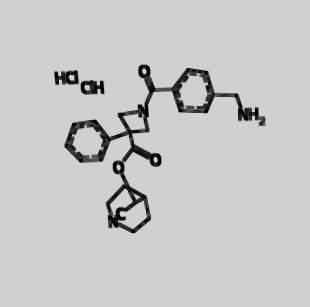 Cl.Cl.NCc1ccc(C(=O)N2CC(C(=O)OC3CN4CCC3CC4)(c3ccccc3)C2)cc1